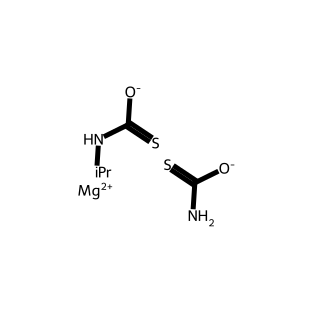 CC(C)NC([O-])=S.NC([O-])=S.[Mg+2]